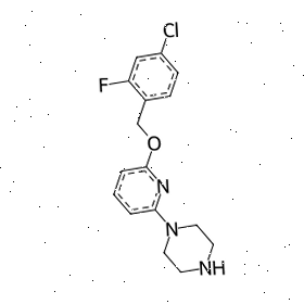 Fc1cc(Cl)ccc1COc1cccc(N2CCNCC2)n1